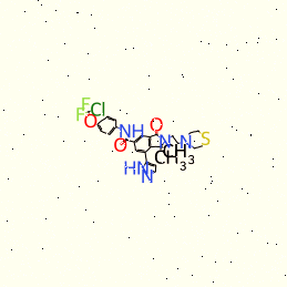 CC1(C)c2c(cc(C(=O)Nc3ccc(OC(F)(F)Cl)cc3)cc2-c2ccn[nH]2)C(=O)N1CCN1CCSCC1